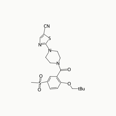 CC(C)(C)COc1ccc(S(C)(=O)=O)cc1C(=O)N1CCN(c2ncc(C#N)s2)CC1